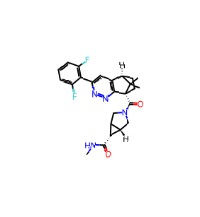 CNC(=O)[C@@H]1C2CN(C(=O)[C@]34CC[C@H](c5cc(-c6c(F)cccc6F)nnc53)C4(C)C)C[C@@H]21